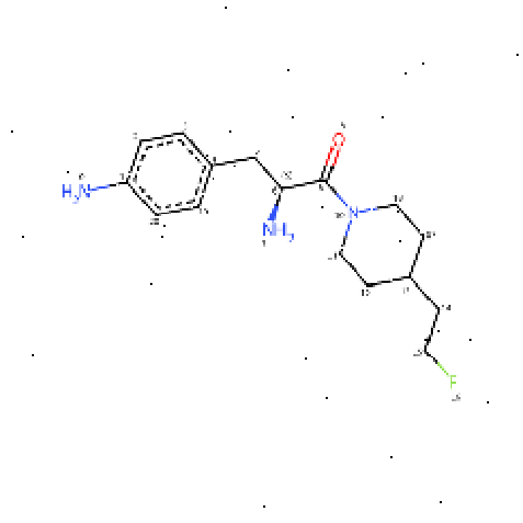 Nc1ccc(C[C@H](N)C(=O)N2CCC(CCF)CC2)cc1